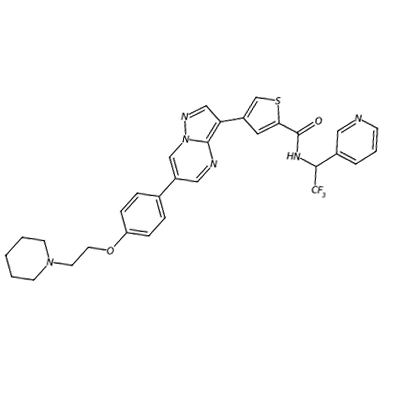 O=C(NC(c1cccnc1)C(F)(F)F)c1cc(-c2cnn3cc(-c4ccc(OCCN5CCCCC5)cc4)cnc23)cs1